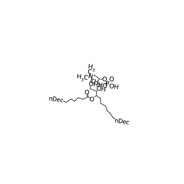 CCCCCCCCCCCCCCCCC(OC(=O)CCCCCCCCCCCCCCC)C(O)CO.C[N+](C)(C)CCOP(=O)(O)O